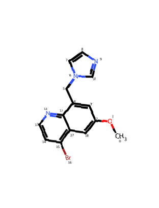 COc1cc(Cn2ccnc2)c2nccc(Br)c2c1